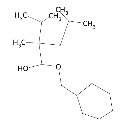 CC(C)CC(C)(C(C)C)C(O)OCC1CCCCC1